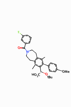 COc1ccc(-c2c(C)c3c(c(C)c2[C@H](OC(C)(C)C)C(=O)O)CCN(C(=O)c2cccc(F)c2)CC3)cc1